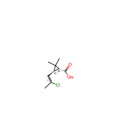 C/C(Cl)=C/[C@@H]1[C@@H](C(=O)O)C1(C)C